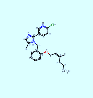 CC(=CCOc1ccccc1Cn1c(C)cnc1-c1ccc(Cl)nc1)CCC(=O)O